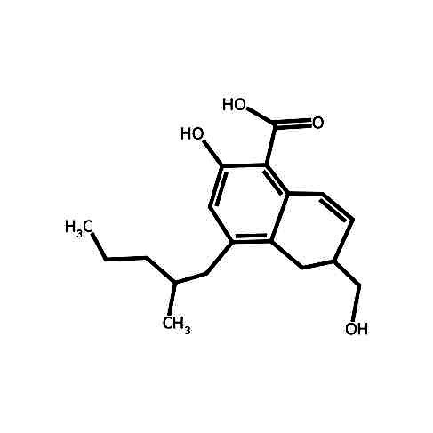 CCCC(C)Cc1cc(O)c(C(=O)O)c2c1CC(CO)C=C2